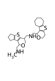 CNCC1OCC(CNCC2OCCc3sc4c(c32)CCCCC4)c2sc3c(c21)CCC3